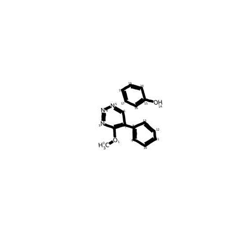 COc1nnncc1-c1ccccc1.Oc1ccccc1